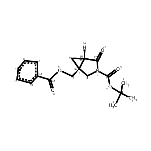 CC(C)(C)OC(=O)N1C[C@]2(COC(=O)c3ccccc3)C[C@@H]2C1=O